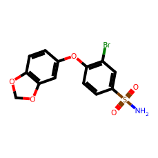 NS(=O)(=O)c1ccc(Oc2ccc3c(c2)OCO3)c(Br)c1